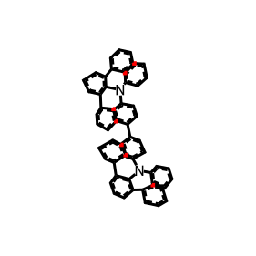 c1ccc(-c2cccc(-c3ccccc3)c2N(c2ccccc2)c2ccc(-c3ccc(N(c4ccccc4)c4c(-c5ccccc5)cccc4-c4ccccc4)cc3)cc2)cc1